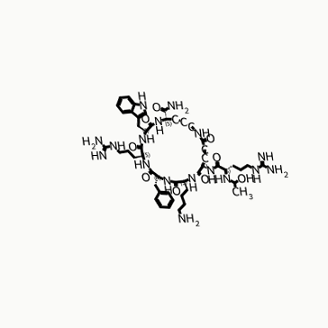 CC(O)N[C@@H](CCCNC(=N)N)C(=O)N[C@H]1CCC(=O)NCCC[C@@H](C(N)=O)NC(=O)[C@H](Cc2c[nH]c3ccccc23)NC(=O)[C@H](CCCNC(=N)N)NC(=O)[C@@H](Cc2ccccc2)NC(=O)[C@H](CCCCN)NC1=O